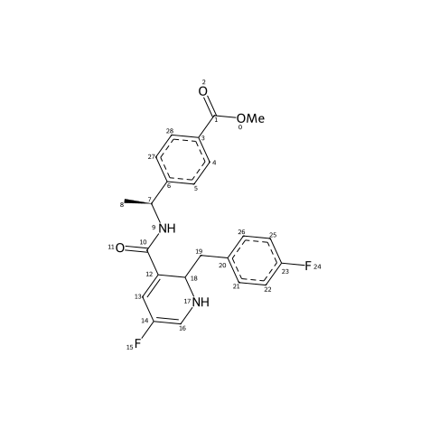 COC(=O)c1ccc([C@H](C)NC(=O)C2=CC(F)=CNC2Cc2ccc(F)cc2)cc1